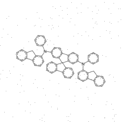 c1ccc(N(c2ccc3c(c2)C2(c4ccccc4-c4ccccc42)c2cc(N(c4ccccc4)c4cccc5c4Cc4ccccc4-5)ccc2-3)c2cccc3c2Cc2ccccc2-3)cc1